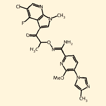 COc1nc(/C(N)=N/OC(C)C(=O)c2cn(C)c3ncc(Cl)c(F)c23)ccc1-n1cnc(C)c1